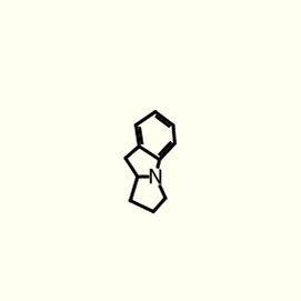 c1ccc2c(c1)CC1CCCN21